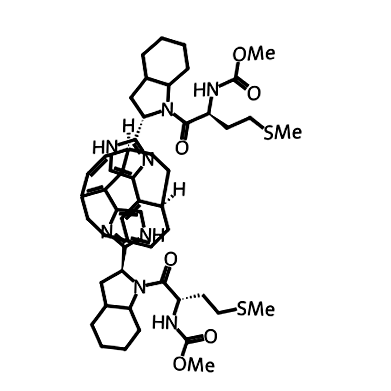 COC(=O)N[C@@H](CCSC)C(=O)N1C2CCCCC2C[C@H]1c1nc(C2=CC3=CC[C@@H]2CC[C@@H]2C=CC(=C(c4c[nH]c([C@@H]5CC6CCCCC6N5C(=O)[C@H](CCSC)NC(=O)OC)n4)C2)CC3)c[nH]1